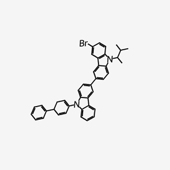 CC(C)C(C)n1c2ccc(Br)cc2c2cc(-c3ccc4c(c3)c3ccccc3n4C3=CCC(c4ccccc4)C=C3)ccc21